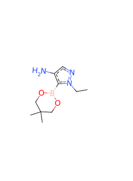 CCn1ncc(N)c1B1OCC(C)(C)CO1